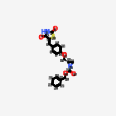 O=C1NC(=O)C(=Cc2ccc(OC[C@@H]3CN3C(=O)OCc3ccccc3)cc2)S1